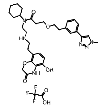 Cn1cc(-c2cccc(CCOCCC(=O)N(CCNCCc3ccc(O)c4c3OCC(=O)N4)C3CCCCC3)c2)nn1.O=C(O)C(F)(F)F